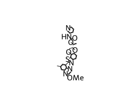 C=C(OC(=O)Nc1cccnc1)[C@H]1COc2c(ccc3nc(-c4cc(C)cc5nc(OC)cnc45)sc23)O1